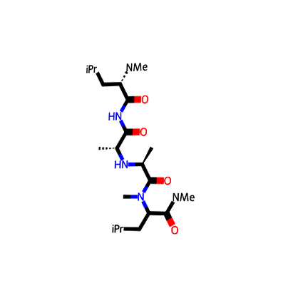 CNC(=O)C(CC(C)C)N(C)C(=O)[C@H](C)N[C@H](C)C(=O)NC(=O)[C@H](CC(C)C)NC